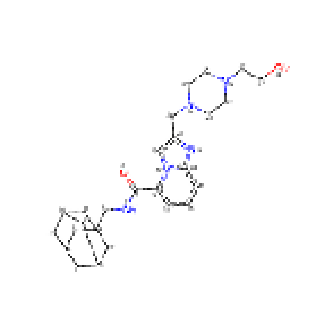 O=C(NCC12CC3CC(CC(C3)C1)C2)c1cccc2nc(CN3CCN(CCO)CC3)cn12